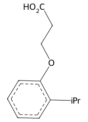 CC(C)c1ccccc1OCCC(=O)O